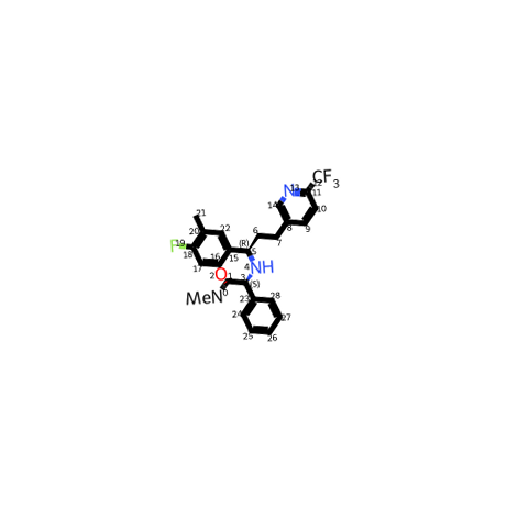 CNC(=O)[C@@H](N[C@H](CCc1ccc(C(F)(F)F)nc1)c1ccc(F)c(C)c1)c1ccccc1